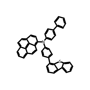 c1ccc(-c2ccc(N(c3ccc(-c4cccc5c4sc4ccccc45)cc3)c3ccc4ccc5cccc6ccc3c4c56)cc2)cc1